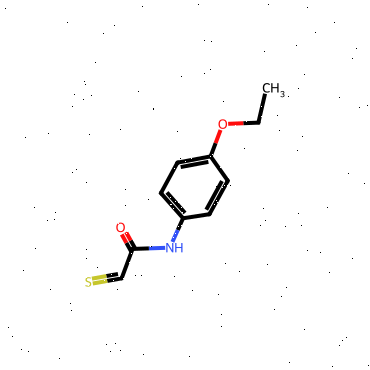 CCOc1ccc(NC(=O)C=S)cc1